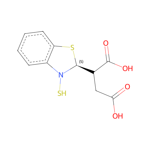 O=C(O)CC(C(=O)O)[C@@H]1Sc2ccccc2N1S